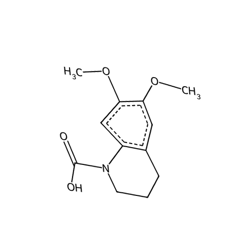 COc1cc2c(cc1OC)N(C(=O)O)CCC2